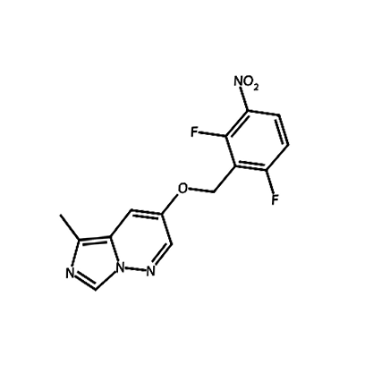 Cc1ncn2ncc(OCc3c(F)ccc([N+](=O)[O-])c3F)cc12